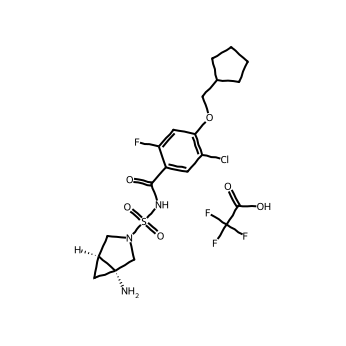 N[C@]12C[C@H]1CN(S(=O)(=O)NC(=O)c1cc(Cl)c(OCC3CCCC3)cc1F)C2.O=C(O)C(F)(F)F